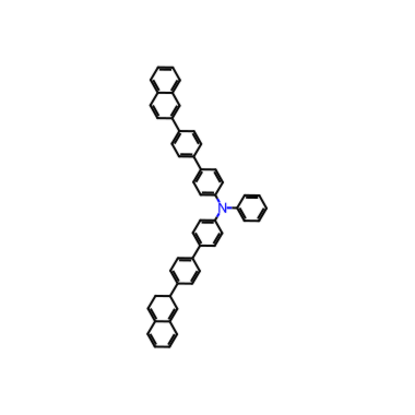 C1=c2ccccc2=CC(c2ccc(-c3ccc(N(c4ccccc4)c4ccc(-c5ccc(-c6ccc7ccccc7c6)cc5)cc4)cc3)cc2)C1